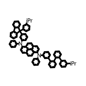 CC(C)c1cccc(-c2ccccc2-c2ccccc2-c2cccc(N(c3ccccc3)c3ccc4ccc5c(N(c6ccccc6)c6cccc(C7(c8cccc(C(C)C)c8)c8ccccc8-c8ccccc87)c6)ccc6ccc3c4c65)c2)c1